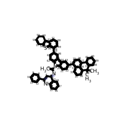 C=C(/N=C(\C=C(/N)c1ccccc1)c1ccccc1)n1c2ccc(-c3ccc4c5c(cccc35)C(C)(C)c3ccccc3-4)cc2c2cc(-c3cccc4c5c(sc34)C=CCC5)ccc21